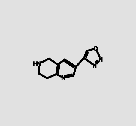 c1nc2c(cc1-c1conn1)CNCC2